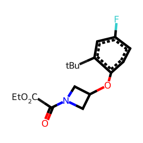 CCOC(=O)C(=O)N1CC(Oc2ccc(F)cc2C(C)(C)C)C1